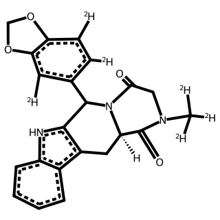 [2H]c1c([2H])c(C2c3[nH]c4ccccc4c3C[C@@H]3C(=O)N(C([2H])([2H])[2H])CC(=O)N23)c([2H])c2c1OCO2